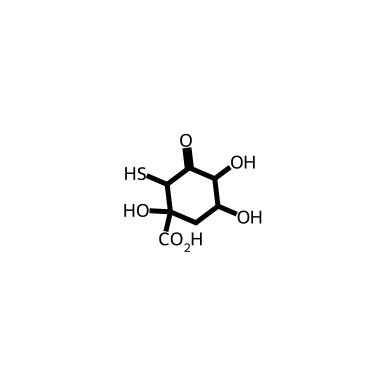 O=C1C(O)C(O)CC(O)(C(=O)O)C1S